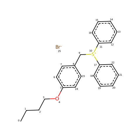 CCCCOc1ccc(C[S+](c2ccccc2)c2ccccc2)cc1.[Br-]